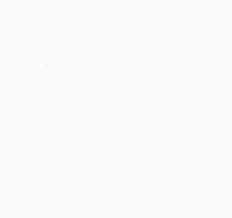 COS(=O)(=O)c1[c]ccc(CO)c1